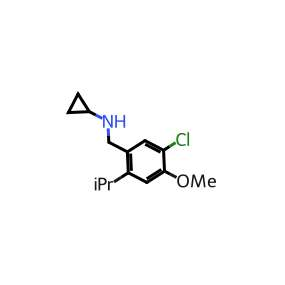 COc1cc(C(C)C)c(CNC2CC2)cc1Cl